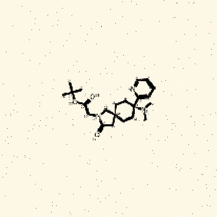 CN(C)[C@]1(c2ccccn2)CC[C@@]2(CC1)CC(=O)N(CC(=O)OC(C)(C)C)C2